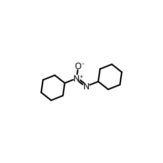 [O-][N+](=NC1CCCCC1)C1CCCCC1